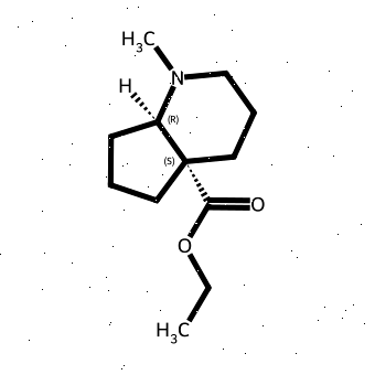 CCOC(=O)[C@]12CCC[C@H]1N(C)CCC2